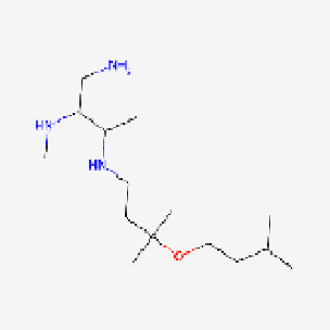 CNC(CN)C(C)NCCC(C)(C)OCCC(C)C